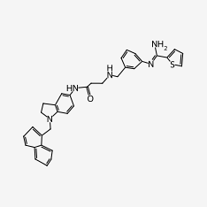 N/C(=N\c1cccc(CNCCC(=O)Nc2ccc3c(c2)CCN3Cc2cccc3ccccc23)c1)c1cccs1